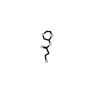 O=C(CCCl)OC1COCCO1